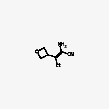 CCC(=C(N)C#N)C1COC1